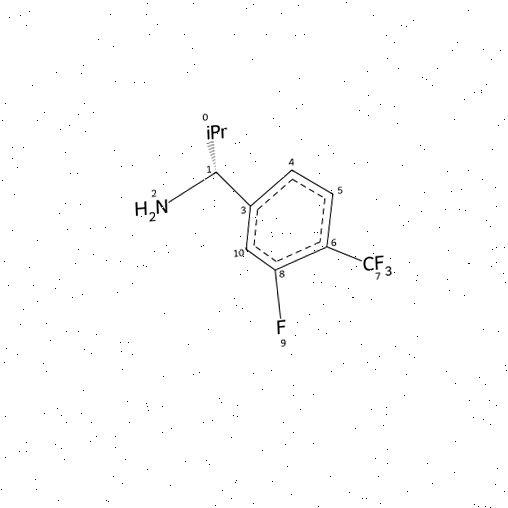 CC(C)[C@@H](N)c1ccc(C(F)(F)F)c(F)c1